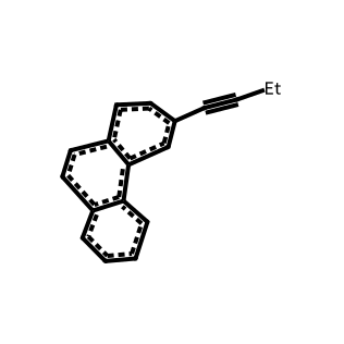 CCC#Cc1ccc2ccc3ccccc3c2c1